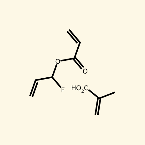 C=C(C)C(=O)O.C=CC(=O)OC(F)C=C